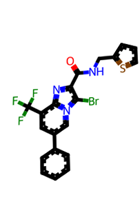 O=C(NCc1cccs1)c1nc2c(C(F)(F)F)cc(-c3ccccc3)cn2c1Br